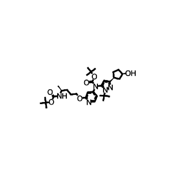 C[C@@H](CCCOc1cc(N(C(=O)OC(C)(C)C)c2cc([C@H]3CC[C@@H](O)C3)nn2C(C)(C)C)ccn1)NC(=O)OC(C)(C)C